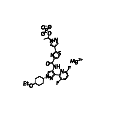 CCO[C@H]1CC[C@H](n2cc(NC(=O)c3csc(-c4cnn(C(C)OP(=O)([O-])[O-])c4)n3)c(-c3nc(F)ccc3F)n2)CC1.[Mg+2]